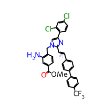 COC(=O)c1ccc(Cn2cc(-c3ccc(Cl)cc3Cl)nc2/C=C/c2ccc(-c3ccc(C(F)(F)F)cc3)cc2)c(N)c1